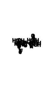 CCN(CC)C[C@@H]1[C@H](c2ccc(C#Cc3cccc(-c4cc(NC(O)N5C[C@H](O)[C@H](O)CN6[C@H](CN(C)C)[C@H](c7ccc(C#Cc8ccccc8F)cc7)[C@@H]6C5)ccc4OC)c3)cc2)[C@@H]2CN(C(O)Nc3ccc(OC)cc3)C[C@@H](O)[C@@H](O)CN12